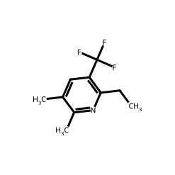 CCc1nc(C)c(C)cc1C(F)(F)F